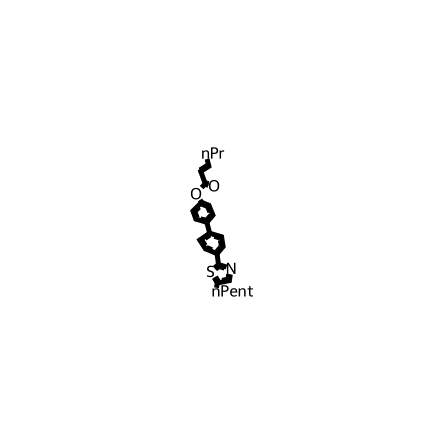 CCC/C=C/C(=O)Oc1ccc(-c2ccc(-c3ncc(CCCCC)s3)cc2)cc1